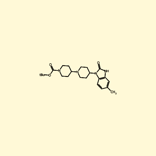 Cc1ccc2c(c1)[nH]c(=O)n2C1CCN(C2CCN(C(=O)OC(C)(C)C)CC2)CC1